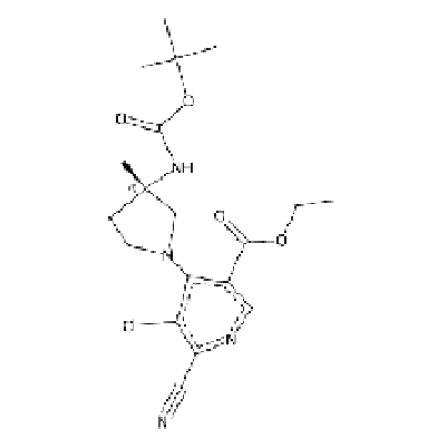 CCOC(=O)c1cnc(C#N)c(Cl)c1N1CC[C@](C)(NC(=O)OC(C)(C)C)C1